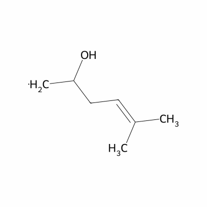 [CH2]C(O)CC=C(C)C